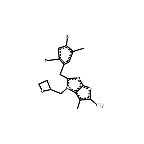 Cc1cc(Cc2nc3sc(C(=O)O)c(C)c3n2CC2CCO2)c(F)cc1Br